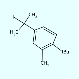 Cc1cc(C(C)(C)I)ccc1C(C)(C)C